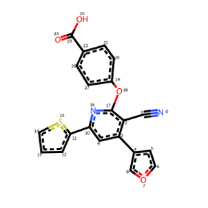 N#Cc1c(-c2ccoc2)cc(-c2cccs2)nc1Oc1ccc(C(=O)O)cc1